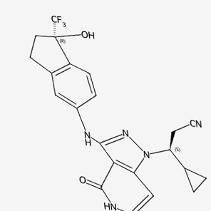 N#CC[C@@H](C1CC1)n1nc(Nc2ccc3c(c2)CC[C@]3(O)C(F)(F)F)c2c(=O)[nH]ccc21